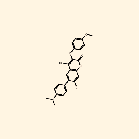 COc1ccc(Oc2c(O)c3cc(-c4ccc(N(C)C)cc4)c(Cl)cc3[nH]c2=O)cc1